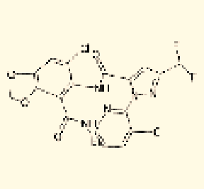 CCNC(=O)c1c(NC(=O)c2cc(C(F)F)nn2-c2ncccc2Cl)c(Cl)cc2c1OCO2